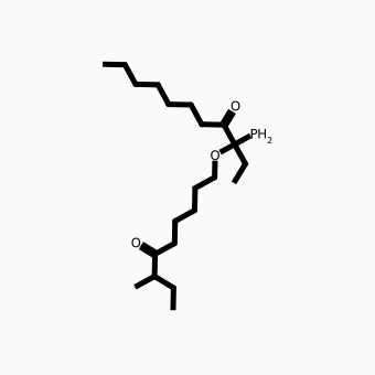 CCCCCCCC(=O)C(P)(CC)OCCCCCC(=O)C(C)CC